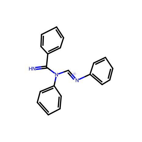 N=C(c1ccccc1)N(/C=N/c1ccccc1)c1ccccc1